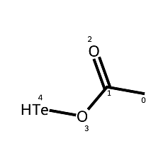 CC(=O)O[TeH]